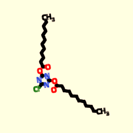 CCCCCCCCCCCC(=O)Oc1nc(Cl)nc(OC(=O)CCCCCCCCCCC)n1